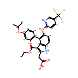 CCOC(=O)c1c(CC(=O)O)[nH]c2ccc(Oc3ccc(C(F)(F)F)cn3)c(-c3ccc(OC(C)C)cc3)c12